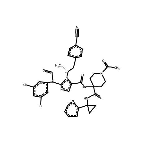 CC(=O)N1CCC(NC(=O)c2cnc(N(C=O)c3cc(Cl)cc(Cl)c3)n2[C@H](C)Cc2ccc(C#N)cc2)(C(=O)NC2(c3ccccn3)CC2)CC1